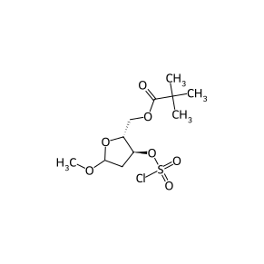 COC1C[C@H](OS(=O)(=O)Cl)[C@@H](COC(=O)C(C)(C)C)O1